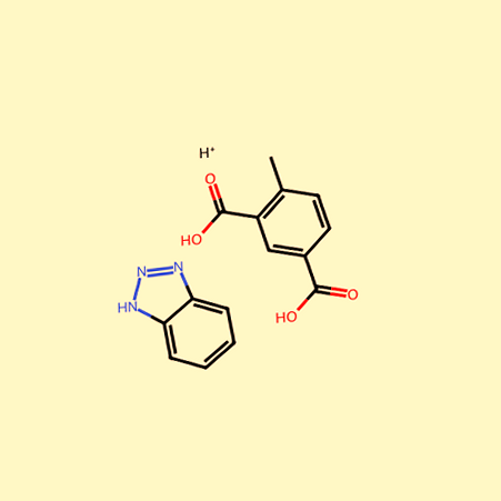 Cc1ccc(C(=O)O)cc1C(=O)O.[H+].c1ccc2[nH]nnc2c1